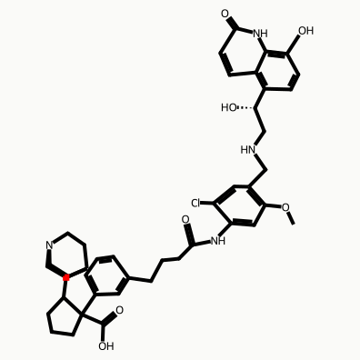 COc1cc(NC(=O)CCCc2cccc(C3(C(=O)O)CCCC3C3CN4CCC3CC4)c2)c(Cl)cc1CNC[C@H](O)c1ccc(O)c2[nH]c(=O)ccc12